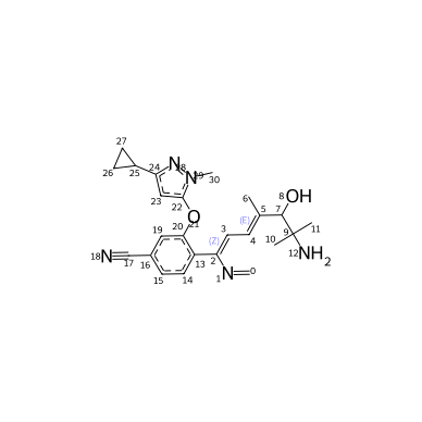 C=N/C(=C\C=C(/C)C(O)C(C)(C)N)c1ccc(C#N)cc1Oc1cc(C2CC2)nn1C